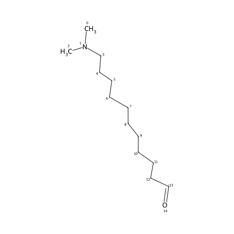 CN(C)CCCCCCCCCC[C]=O